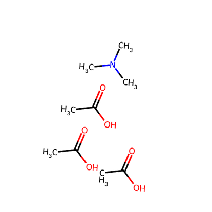 CC(=O)O.CC(=O)O.CC(=O)O.CN(C)C